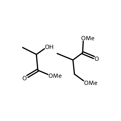 COC(=O)C(C)O.COCC(C)C(=O)OC